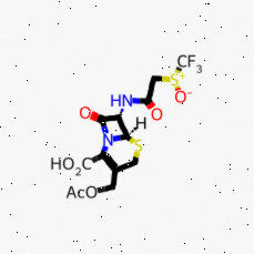 CC(=O)OCC1=C(C(=O)O)N2C(=O)[C@H](NC(=O)C[S+]([O-])C(F)(F)F)[C@H]2SC1